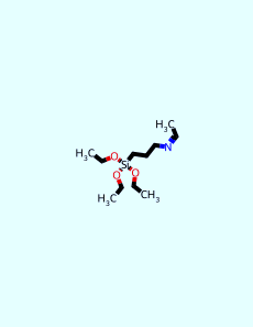 C/C=N\CCC[Si](OCC)(OCC)OCC